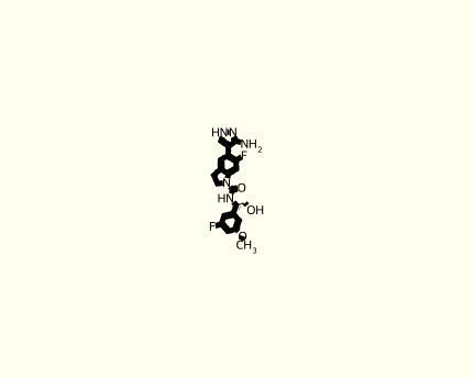 COc1cc(F)cc([C@@H](CO)NC(=O)N2CCc3cc(-c4c[nH]nc4N)c(F)cc32)c1